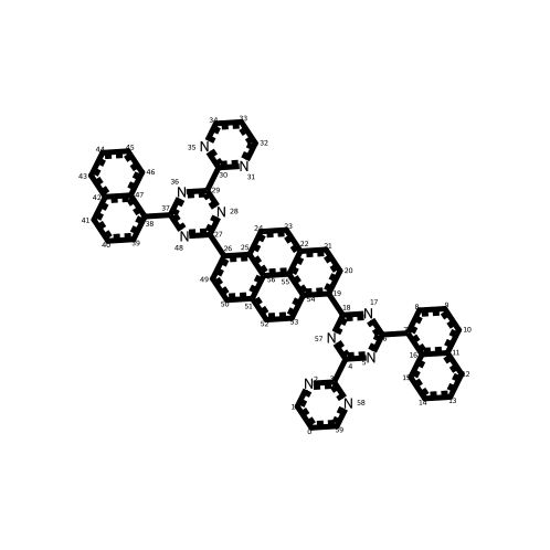 c1cnc(-c2nc(-c3cccc4ccccc34)nc(-c3ccc4ccc5c(-c6nc(-c7ncccn7)nc(-c7cccc8ccccc78)n6)ccc6ccc3c4c65)n2)nc1